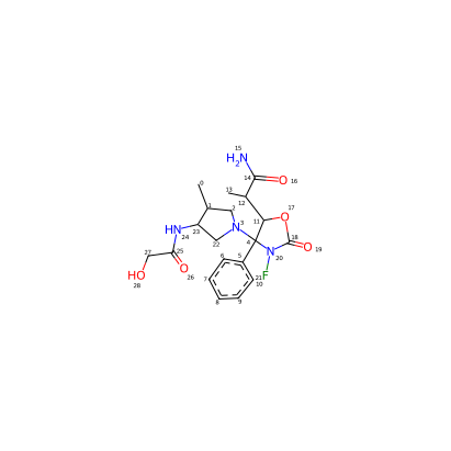 CC1CN(C2(c3ccccc3)C(C(C)C(N)=O)OC(=O)N2F)CC1NC(=O)CO